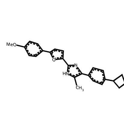 COc1ccc(-c2ccc(-c3nc(-c4ccc(C5CCC5)cc4)c(C)[nH]3)o2)cc1